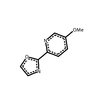 COc1ccc(-c2ncco2)nc1